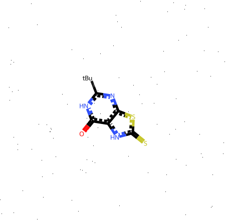 CC(C)(C)c1nc2sc(=S)[nH]c2c(=O)[nH]1